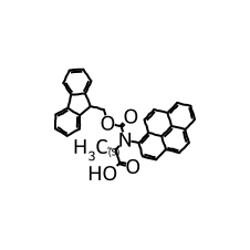 C[C@@H](C(=O)O)N(C(=O)OCC1c2ccccc2-c2ccccc21)c1ccc2ccc3cccc4ccc1c2c34